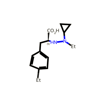 CCc1ccc(C[C@H](NN(CC)C2CC2)C(=O)O)cc1